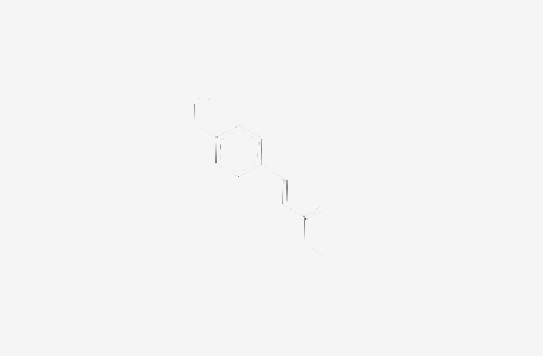 CCCCCCCCOC(=O)/C=C/c1ccc(OCCCCCCCC)cc1